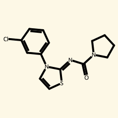 O=C(N=c1sccn1-c1cccc(Cl)c1)N1CCCC1